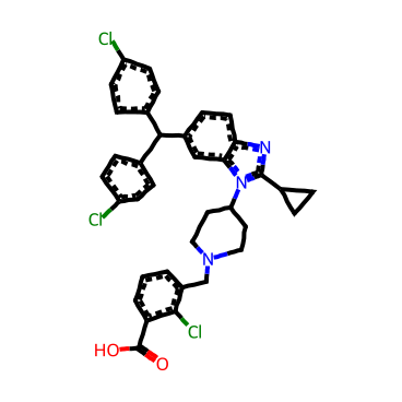 O=C(O)c1cccc(CN2CCC(n3c(C4CC4)nc4ccc(C(c5ccc(Cl)cc5)c5ccc(Cl)cc5)cc43)CC2)c1Cl